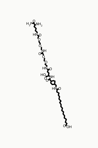 N[C@@H](CCCCNC(=O)COCCOCCNC(=O)COCCOCCNC(=O)CCC(NC(=O)C1CCC(CNC(=O)CCCCCCCCCCCCCCCCCCC(=O)O)CC1)C(=O)O)C(=O)P